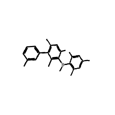 CB(c1c(C)cc(C)cc1C)c1c(C)cc(C)c(-c2cccc(C)c2)c1C